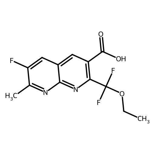 CCOC(F)(F)c1nc2nc(C)c(F)cc2cc1C(=O)O